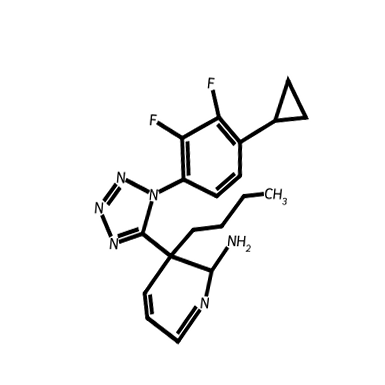 CCCCC1(c2nnnn2-c2ccc(C3CC3)c(F)c2F)C=CC=NC1N